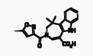 Cc1cc(C(=O)N2C=C(C(=O)O)c3[nH]c4ccccc4c3C(C)(C)C2)no1